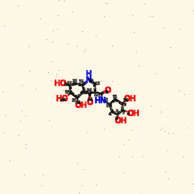 O=C(Nc1cc(O)c(O)c(O)c1)c1c[nH]c2cc(O)c(O)c(O)c2c1=O